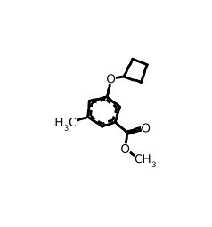 COC(=O)c1cc(C)cc(OC2CCC2)c1